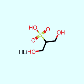 O=S(=O)(O)C(CO)CO.[LiH]